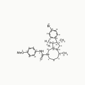 COc1ccc(NC(=O)N2CCCC(C)N3C[C@](C)(c4ccc(Br)cc4)C(C)[C@@H]3C2)cc1